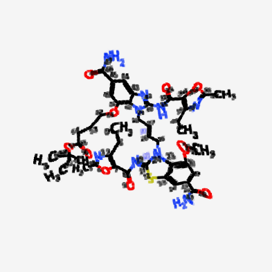 CCc1nc(C)oc1C(=O)/N=c1\sc2cc(C(N)=O)cc(OC)c2n1C/C=C/Cn1c(NC(=O)c2oc(C)nc2CC)nc2cc(C(N)=O)cc(OCCCC(=O)OC(C)(C)C)c21